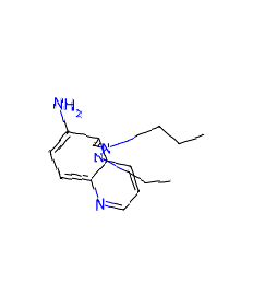 CCCN1C=C2C(N)=CC=C3N=CC=CC32N1CC